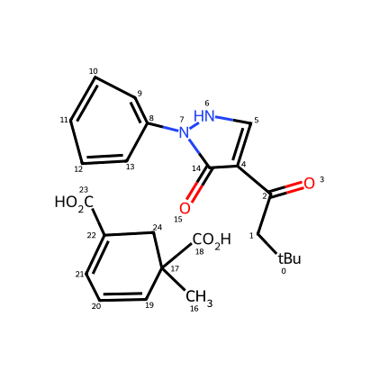 CC(C)(C)CC(=O)c1c[nH]n(-c2ccccc2)c1=O.CC1(C(=O)O)C=CC=C(C(=O)O)C1